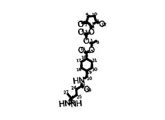 CC(OC(=O)ON1C(=O)CCC1=O)OC(=O)C1CCC(CNC(=O)CCC2(C)NN2)CC1